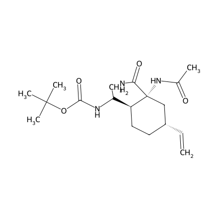 C=C[C@@H]1CC[C@@H](C(C)NC(=O)OC(C)(C)C)[C@@](NC(C)=O)(C(N)=O)C1